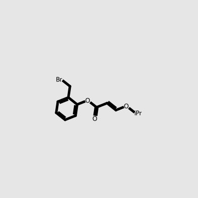 CC(C)OC=CC(=O)Oc1ccccc1CBr